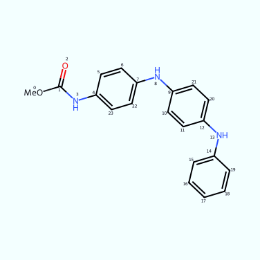 COC(=O)Nc1ccc(Nc2ccc(Nc3ccccc3)cc2)cc1